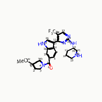 CO[C@@H]1CCN(C(=O)c2ccc3c(-c4nc(N[C@H]5CCCNC5)ncc4C(F)(F)F)c[nH]c3c2)C1